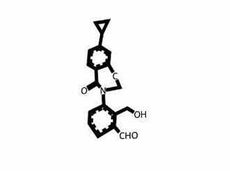 O=Cc1cccc(N2CCc3cc(C4CC4)ccc3C2=O)c1CO